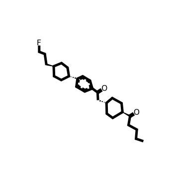 CCCCC(=O)[C@H]1CC[C@H](CC(=O)c2ccc([C@H]3CC[C@H](CCCF)CC3)cc2)CC1